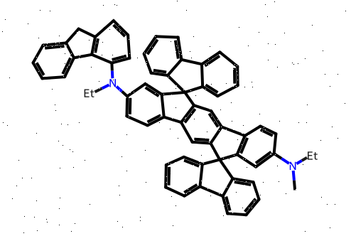 CCN(C)c1ccc2c(c1)C1(c3ccccc3-c3ccccc31)c1cc3c(cc1-2)C1(c2ccccc2-c2ccccc21)c1cc(N(CC)c2cccc4c2-c2ccccc2C4)ccc1-3